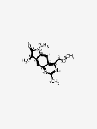 COCc1nc(C)nc2cc3c(cc12)N(C)C(=O)C3C